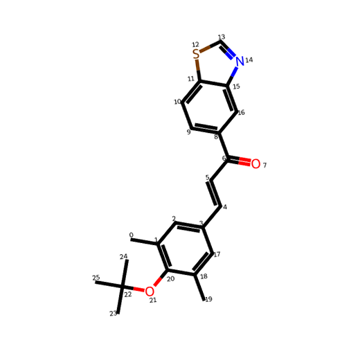 Cc1cc(C=CC(=O)c2ccc3scnc3c2)cc(C)c1OC(C)(C)C